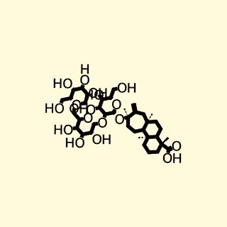 C=C1C[C@@]2(C)CCC3[C@@](C)(CCC[C@@]3(C)C(=O)O)C2CC[C@@]1(C)OC1OC(CO)C(O)C(OC2OC(CO)C(O)C(O)C2O)C1OC1OC(CO)C(O)C(O)C1O